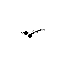 O=C(C=Cc1ccccc1Sc1ccc(Cl)cc1)NCCCCCO